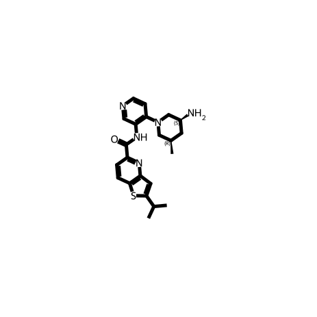 CC(C)c1cc2nc(C(=O)Nc3cnccc3N3C[C@H](C)C[C@H](N)C3)ccc2s1